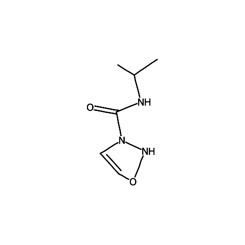 CC(C)NC(=O)N1C=CON1